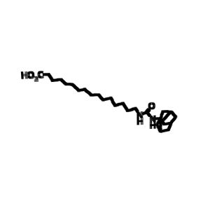 O=C(O)CCCCCCCCCCCCCCCNC(=O)NC12CC3CC(CC(C3)C1)C2